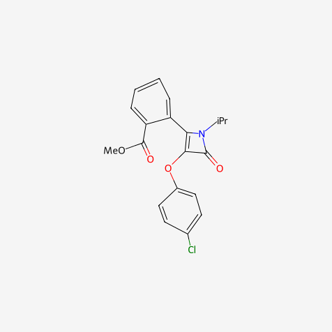 COC(=O)c1ccccc1C1=C(Oc2ccc(Cl)cc2)C(=O)N1C(C)C